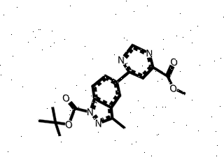 COC(=O)c1cc(-c2ccc3c(c2)c(C)nn3C(=O)OC(C)(C)C)ncn1